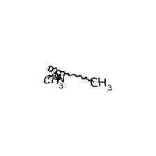 CCCCCCCCCCCCCCC(Cc1ccccc1)C(CCCC)n1ccnc1